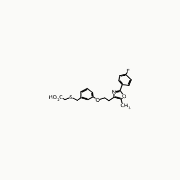 Cc1oc(-c2ccc(F)cc2)nc1CCOc1cccc(CSCC(=O)O)c1